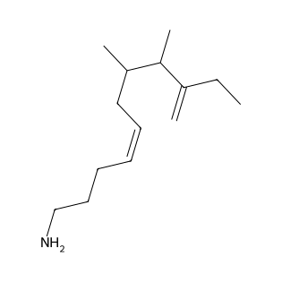 C=C(CC)C(C)C(C)C/C=C\CCCN